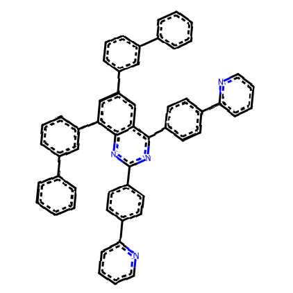 c1ccc(-c2cccc(-c3cc(-c4cccc(-c5ccccc5)c4)c4nc(-c5ccc(-c6ccccn6)cc5)nc(-c5ccc(-c6ccccn6)cc5)c4c3)c2)cc1